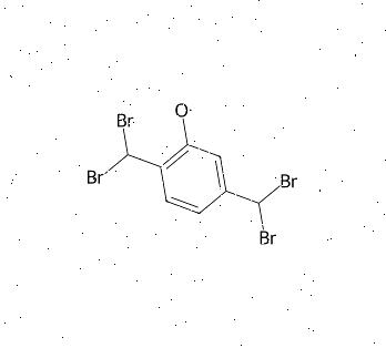 [O]c1cc(C(Br)Br)ccc1C(Br)Br